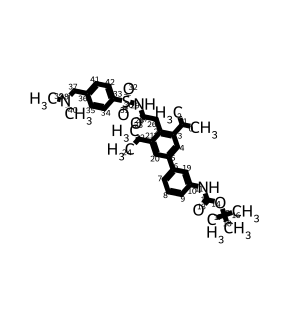 CC(C)c1cc(-c2cccc(NC(=O)OC(C)(C)C)c2)cc(C(C)C)c1CC(=O)NS(=O)(=O)c1ccc(CN(C)C)cc1